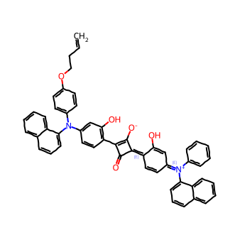 C=CCCOc1ccc(N(c2ccc(C3=C([O-])/C(=C4C=C/C(=[N+](/c5ccccc5)c5cccc6ccccc56)C=C/4O)C3=O)c(O)c2)c2cccc3ccccc23)cc1